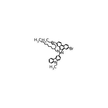 CCCCCCCCC(CCCCCC)Cn1c(-c2ccc3c(c2)c2ccccc2n3CC)nc2c3cc(Br)ccc3c3ccc(Br)cc3c21